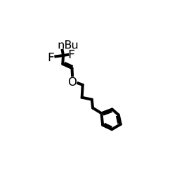 CCCCC(F)(F)C=COCCCCc1ccccc1